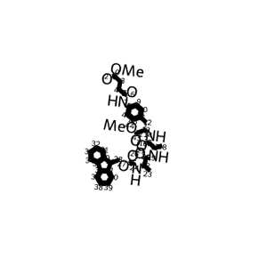 COC(=O)CCC(=O)Nc1ccc(C[C@H](NC(=O)C(C)NC(=O)C(C)NC(=O)OCC2c3ccccc3-c3ccccc32)C(=O)OC)cc1